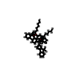 CCCCCCc1ccsc1C1=CC(CCCCCC)C(C=O)(c2c3ccc(N(c4ccc5c(c4)C(C)(C)c4ccccc4-5)c4ccc5c(c4)C(C)(C)c4ccccc4-5)c2SC3)S1